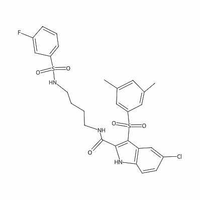 Cc1cc(C)cc(S(=O)(=O)c2c(C(=O)NCCCCNS(=O)(=O)c3cccc(F)c3)[nH]c3ccc(Cl)cc23)c1